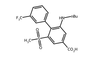 CCCCNc1cc(C(=O)O)cc(S(C)(=O)=O)c1-c1cccc(C(F)(F)F)c1